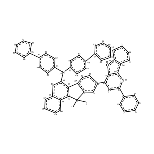 CC1(C)c2cc(-c3nc(-c4ccccc4)nc4c3oc3ccccc34)ccc2-c2c(N(c3ccc(-c4ccccc4)cc3)c3ccc(-c4ccccc4)cc3)cc3ccccc3c21